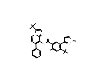 Cn1ccc(-c2cc(C(=O)Nc3c(-c4ccccc4)ccn4c(C(C)(C)O)cnc34)c(F)cc2C(F)(F)F)n1